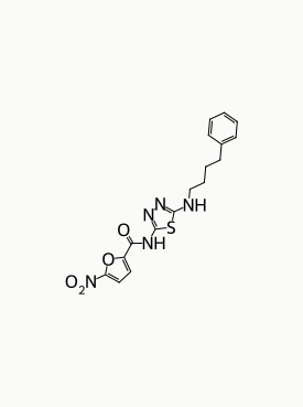 O=C(Nc1nnc(NCCCCc2ccccc2)s1)c1ccc([N+](=O)[O-])o1